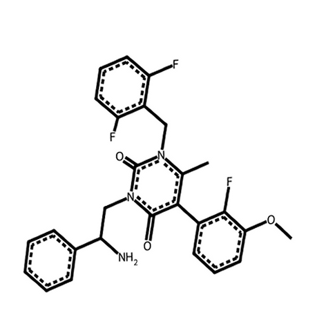 COc1cccc(-c2c(C)n(Cc3c(F)cccc3F)c(=O)n(CC(N)c3ccccc3)c2=O)c1F